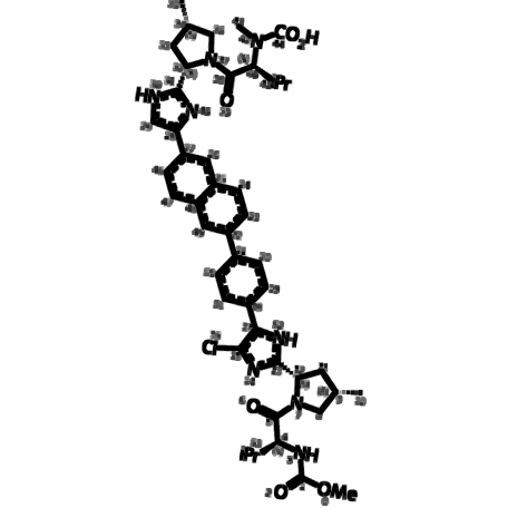 COC(=O)N[C@H](C(=O)N1C[C@@H](C)C[C@H]1c1nc(Cl)c(-c2ccc(-c3ccc4cc(-c5c[nH]c([C@@H]6C[C@H](C)CN6C(=O)[C@H](C(C)C)N(C)C(=O)O)n5)ccc4c3)cc2)[nH]1)C(C)C